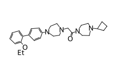 CCOc1ccccc1-c1ccc(N2CCN(CC(=O)N3CCN(C4CCC4)CC3)CC2)cc1